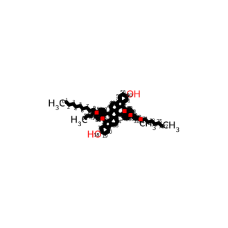 CCCCCCCCCCc1ccc(C2c3cc(O)ccc3-c3ccc4c(-c5ccc(CCCC)cc5)c5c6c(ccc5c(-c5ccc(CCCC)cc5)c4c32)-c2ccc(O)cc2C6c2ccc(CCCCCCCCCC)cc2)cc1